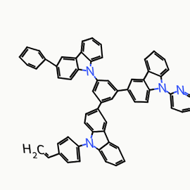 C=Cc1ccc(-n2c3ccccc3c3cc(-c4cc(-c5ccc6c(c5)c5ccccc5n6-c5ccccn5)cc(-n5c6ccccc6c6cc(-c7ccccc7)ccc65)c4)ccc32)cc1